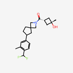 Cc1cc(C2CCC3(C2)CN(C(=O)[C@H]2C[C@@](C)(O)C2)C3)ccc1C(F)F